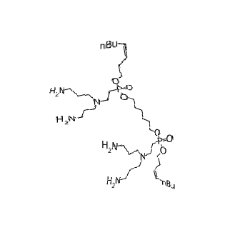 CCCC/C=C\CCOP(=O)(CCN(CCCN)CCCN)OCCCCCCOP(=O)(CCN(CCCN)CCCN)OCC/C=C\CCCC